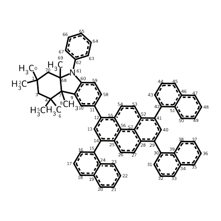 CC1(C)CC(C)(C)C2(C)c3cc(-c4cc(-c5cccc6ccccc56)c5ccc6c(-c7cccc8ccccc78)cc(-c7cccc8ccccc78)c7ccc4c5c76)ccc3N(c3ccccc3)C2(C)C1